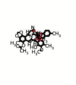 COc1c(C)cc2c(c1O)[C@H]1C3[C@@H]4SC[C@]5(NCCc6c5[nH]c5ccc(C)cc65)C(=O)COC[C@@H](c5c6c(c(C)c(OC(C)=O)c54)OCO6)N3[C@@H](C#N)[C@@H](C2)N1C